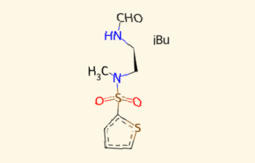 CC[C@H](C)[C@@H](CN(C)S(=O)(=O)c1cccs1)NC=O